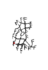 FC(F)(F)C(F)(C(F)(F)F)C(OC1(F)C(F)(F)C(F)(F)C(F)(F)C1(F)F)(C(F)(F)F)C(F)(F)F